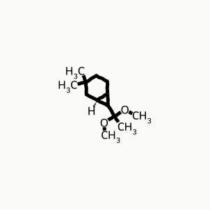 COC(C)(OC)C1C2CCC(C)(C)C[C@@H]21